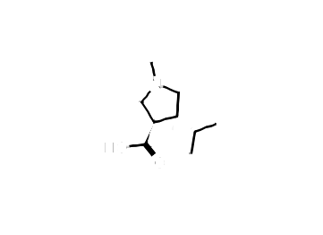 CC(C)[C@H]1CN(C)C[C@@H]1C(=O)O